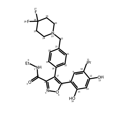 CCNC(=O)c1noc(-c2cc(C(C)C)c(O)cc2O)c1-c1ccc(CN2CCC(F)(F)CC2)cc1